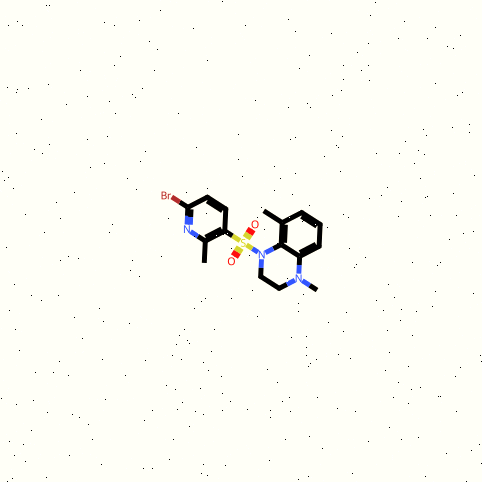 Cc1cccc2c1N(S(=O)(=O)c1ccc(Br)nc1C)CCN2C